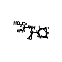 CCC[C@H](NC(=O)c1cnccn1)C(=O)O